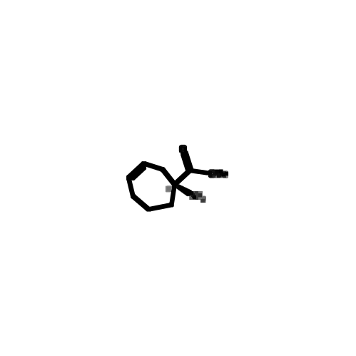 COC(=O)[C@@]1(N)CC=CCCC1